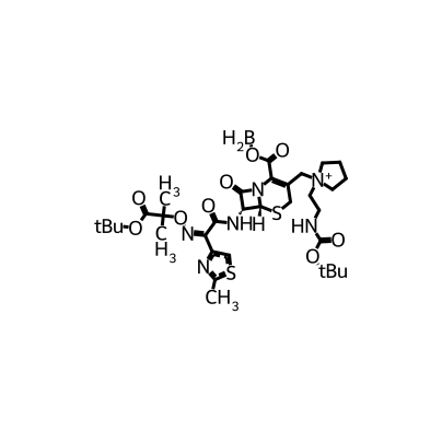 BOC(=O)C1=C(C[N+]2(CCNC(=O)OC(C)(C)C)CCCC2)CS[C@@H]2[C@H](NC(=O)/C(=N\OC(C)(C)C(=O)OC(C)(C)C)c3csc(C)n3)C(=O)N12